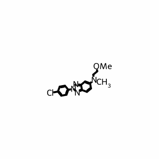 COCCN(C)c1ccc2nn(-c3ccc(Cl)cc3)nc2c1